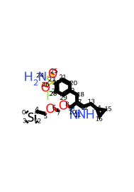 C[Si](C)(C)CCOCOc1n[nH]c(CC2CC2)c1Cc1ccc(S(N)(=O)=O)c(F)c1